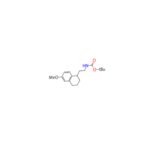 COc1ccc2c(c1)CCCC2CCNC(=O)OC(C)(C)C